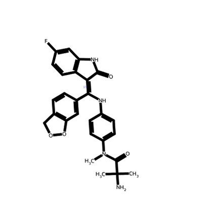 CN(C(=O)C(C)(C)N)c1ccc(N/C(=C2\C(=O)Nc3cc(F)ccc32)c2ccc3c(c2)OOC3)cc1